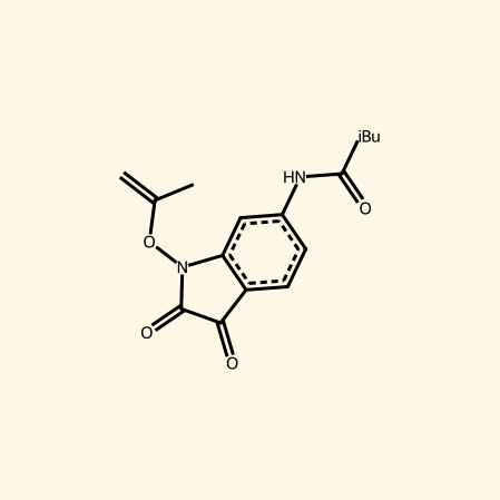 C=C(C)ON1C(=O)C(=O)c2ccc(NC(=O)C(C)CC)cc21